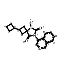 CC(=O)N1C(=O)N(c2cncc3ccccc23)C(=O)C12CC(C1CCC1)C2